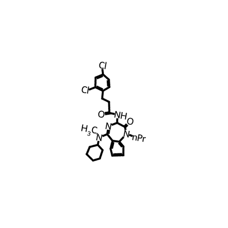 CCCN1C(=O)C(NC(=O)CCc2ccc(Cl)cc2Cl)N=C(N(C)C2CCCCC2)c2ccccc21